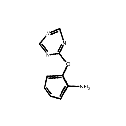 Nc1ccccc1Oc1ncncn1